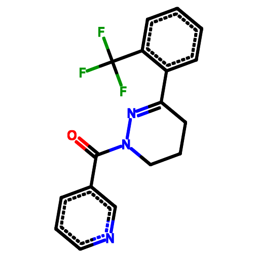 O=C(c1cccnc1)N1CCCC(c2ccccc2C(F)(F)F)=N1